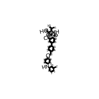 Cc1cccc(Nc2ccc(OCc3ccc(-c4ccc(S(=O)(=O)N[C@@H](C(=O)O)C(C)C)c(Cl)c4)cc3)cc2)c1